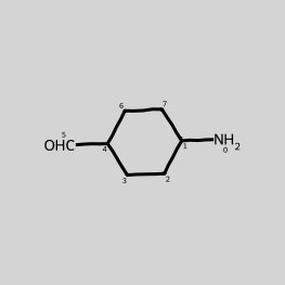 N[C]1CCC(C=O)CC1